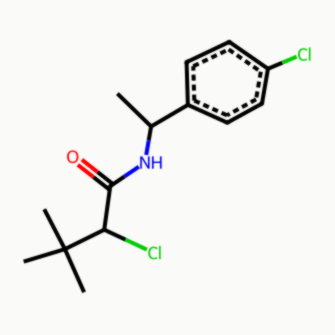 CC(NC(=O)C(Cl)C(C)(C)C)c1ccc(Cl)cc1